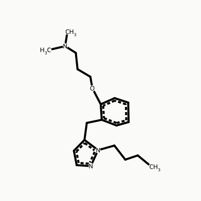 CCCCn1nccc1Cc1ccccc1OCCCN(C)C